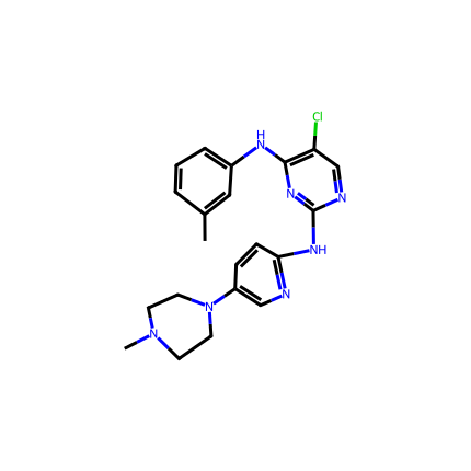 Cc1cccc(Nc2nc(Nc3ccc(N4CCN(C)CC4)cn3)ncc2Cl)c1